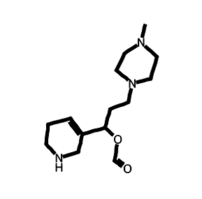 CN1CCN(CCC(OC=O)C2=CCCNC2)CC1